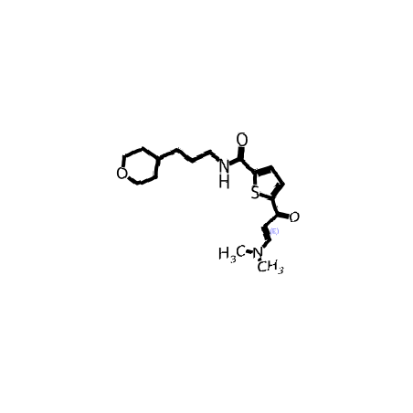 CN(C)/C=C/C(=O)c1ccc(C(=O)NCCCC2CCOCC2)s1